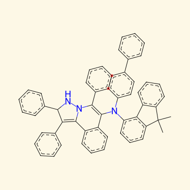 CC1(C)c2ccccc2-c2c(N(C3=C(c4ccccc4)N4NC(c5ccccc5)C(c5ccccc5)=C4c4ccccc43)c3ccc(-c4ccccc4)cc3)cccc21